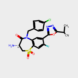 CC(C#N)c1nnc(-c2cc3c(cc2F)S(=O)(=O)C[C@H](N)C(=O)N3Cc2ccc(Cl)cc2)o1